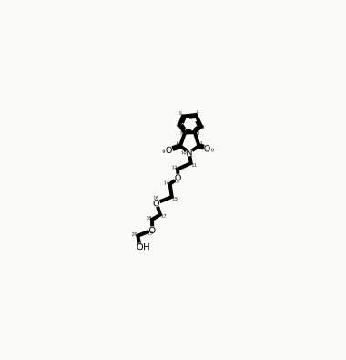 O=C1c2ccccc2C(=O)N1CCOCCOCCOCO